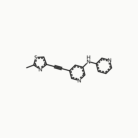 Cc1nc(C#Cc2cncc(Nc3cccnc3)c2)cs1